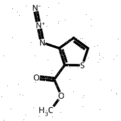 COC(=O)c1sccc1N=[N+]=[N-]